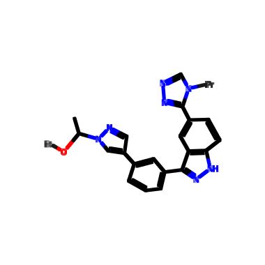 CCOC(C)n1cc(-c2cccc(-c3n[nH]c4ccc(-c5nncn5C(C)C)cc34)c2)cn1